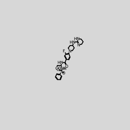 O=C(O)CC(NC(=O)c1ccc(N2CCC(NC3=NCCCN3)CC2)c(F)c1)NS(=O)(=O)c1ccccc1